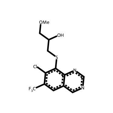 COCC(O)CSc1c(Cl)c(C(F)(F)F)cc2cncnc12